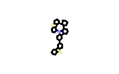 c1ccc2c(c1)sc1ccc(-c3ccc4c(c3)c3cccc5c6ccccc6c6cccc7sc8cccc(c8c76)n4c53)cc12